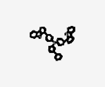 C1=CC2C3=C(OC2CC1)C(C1C=CC(N(C2=CCC(c4cccc5c4oc4ccccc45)C=C2)c2cccc(-c4ccccc4)c2)=CC1)=CCC3